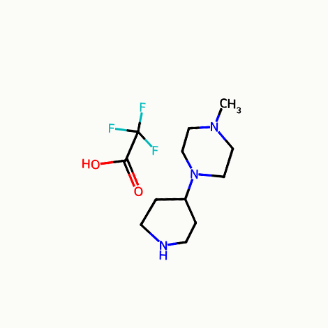 CN1CCN(C2CCNCC2)CC1.O=C(O)C(F)(F)F